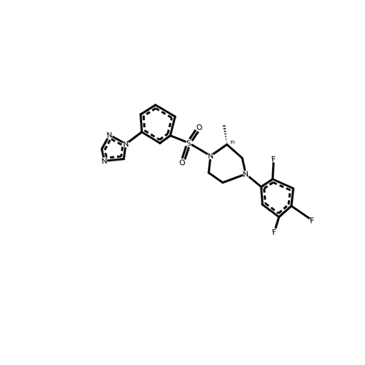 C[C@@H]1CN(c2cc(F)c(F)cc2F)CCN1S(=O)(=O)c1cccc(-n2cncn2)c1